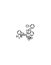 Nc1ccccc1CNC1=NS(=O)(=O)c2cccc(Oc3ccccc3Cl)c2N1